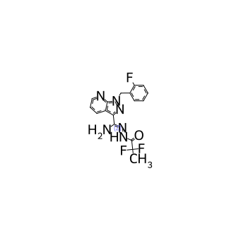 CC(F)(F)C(=O)N/N=C(\N)c1nn(Cc2ccccc2F)c2ncccc12